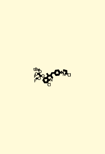 Cc1c(Cc2ccc(-n3ccc(Cl)n3)cc2)cnc2c(Cl)ccc(OC(OC(F)F)C(=O)OC(C)(C)C)c12